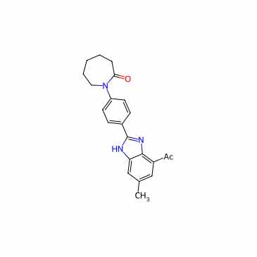 CC(=O)c1cc(C)cc2[nH]c(-c3ccc(N4CCCCCC4=O)cc3)nc12